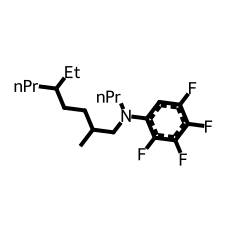 CCCC(CC)CCC(C)CN(CCC)c1cc(F)c(F)c(F)c1F